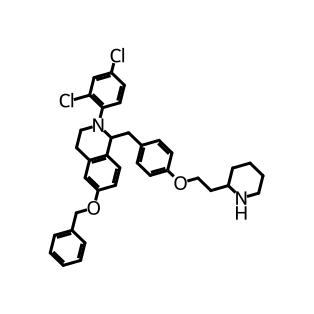 Clc1ccc(N2CCc3cc(OCc4ccccc4)ccc3C2Cc2ccc(OCCC3CCCCN3)cc2)c(Cl)c1